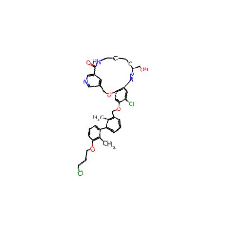 Cc1c(COc2cc3c(cc2Cl)CN[C@H](CO)CCCCNC(=O)c2cncc(c2)CO3)cccc1-c1cccc(OCCCCl)c1C